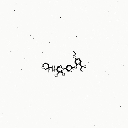 CCOc1ccc(C(=O)CC)c(Oc2ccc(-n3ncc(NC[C@@]4(F)CCCOC4)c(Cl)c3=O)cn2)c1